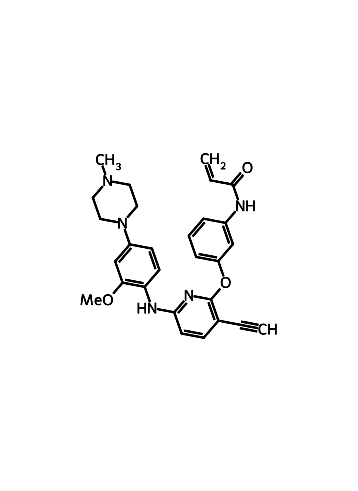 C#Cc1ccc(Nc2ccc(N3CCN(C)CC3)cc2OC)nc1Oc1cccc(NC(=O)C=C)c1